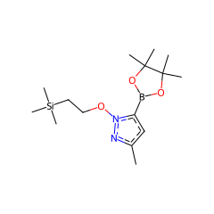 Cc1cc(B2OC(C)(C)C(C)(C)O2)n(OCC[Si](C)(C)C)n1